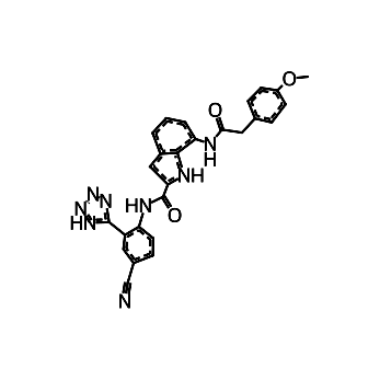 COc1ccc(CC(=O)Nc2cccc3cc(C(=O)Nc4ccc(C#N)cc4-c4nnn[nH]4)[nH]c23)cc1